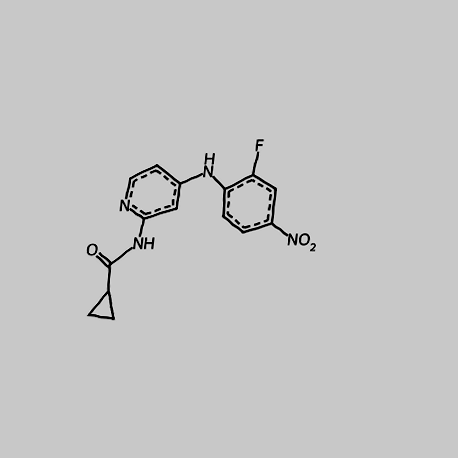 O=C(Nc1cc(Nc2ccc([N+](=O)[O-])cc2F)ccn1)C1CC1